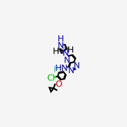 CC1(COc2ccc(Nc3ncnc4ccc(N5C[C@@H]6C[C@H]5CN6)nc34)c(F)c2Cl)CC1